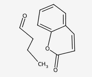 CCCC=O.O=c1ccc2ccccc2o1